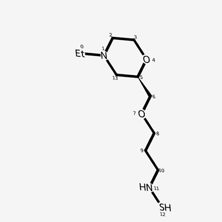 CCN1CCO[C@@H](COCCCNS)C1